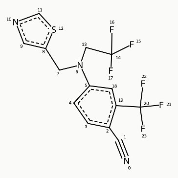 N#Cc1ccc(N(Cc2cncs2)CC(F)(F)F)cc1C(F)(F)F